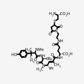 CNC(C(=O)N[C@H](C(=O)N(C)[C@H](/C=C(\C)C(=O)N[C@H](CCC(=O)NCCN1C(=O)CC(SC[C@H](N)C(=O)O)C1=O)C(=O)O)C(C)C)C(C)(C)C)C(C)(C)c1ccc(O)cc1